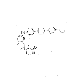 Cn1c(-c2nc(Nc3ccc(N4CCC(C5CCN(CCF)CC5)CC4)cn3)ncc2F)cc2c1CCNC2=O